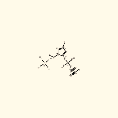 C#N.CC#N.CCn1cc[n+](C)c1.F[B-](F)(F)F.F[B-](F)(F)F